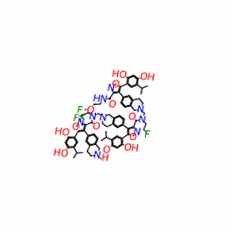 COCCNC(=O)c1noc(-c2cc(C(C)C)c(O)cc2O)c1-c1ccc2c(c1)CCN(CN(CCF)C(=O)c1noc(-c3cc(C(C)C)c(O)cc3O)c1-c1ccc3c(c1)CCN(CN(CC(F)(F)F)C(=O)c1noc(-c4cc(C(C)C)c(O)cc4O)c1-c1ccc4c(c1)CCN(C)C4)C3)C2